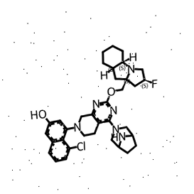 Oc1cc(N2CCc3c(nc(OC[C@]45C[C@H](F)CN4[C@H]4CCCC[C@H]4C5)nc3N3CC4CCC(C3)N4)C2)c2c(Cl)cccc2c1